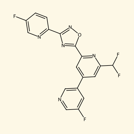 Fc1ccc(-c2noc(-c3cc(-c4cncc(F)c4)cc(C(F)F)n3)n2)nc1